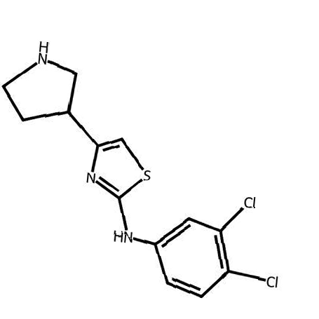 Clc1ccc(Nc2nc(C3CCNC3)cs2)cc1Cl